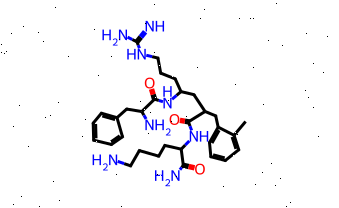 Cc1ccccc1CC(CC(CCCNC(=N)N)NC(=O)C(N)Cc1ccccc1)C(=O)NC(CCCCN)C(N)=O